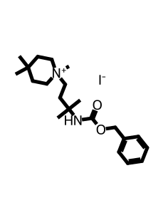 CC1(C)CC[N+](C)(CCC(C)(C)NC(=O)OCc2ccccc2)CC1.[I-]